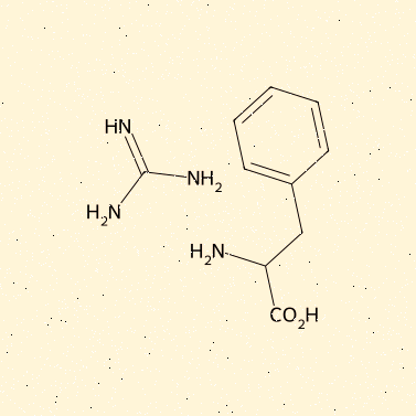 N=C(N)N.NC(Cc1ccccc1)C(=O)O